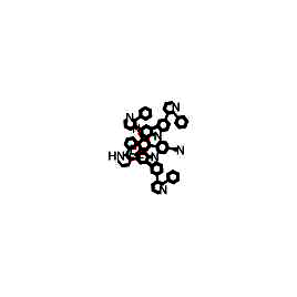 N#Cc1cc(-c2c(-n3c4ccc(C5=C(c6ccccc6)NCC=C5)cc4c4cc(-c5cccnc5-c5ccccc5)ccc43)cc(C#N)cc2-n2c3ccc(-c4cccnc4-c4ccccc4)cc3c3cc(-c4cccnc4-c4ccccc4)ccc32)cc(C(F)(F)F)c1